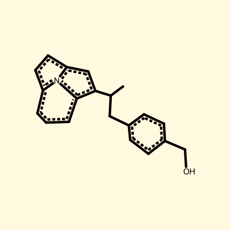 CC(Cc1ccc(CO)cc1)c1cc2ccc3cccc1n32